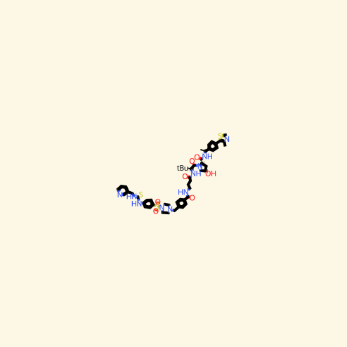 Cc1ncsc1-c1ccc([C@H](C)NC(=O)[C@@H]2C[C@@H](O)CN2C(=O)[C@@H](NC(=O)CCCNC(=O)c2ccc(CN3CCN(S(=O)(=O)c4ccc(NC(=S)NCc5cccnc5)cc4)CC3)cc2)C(C)(C)C)cc1